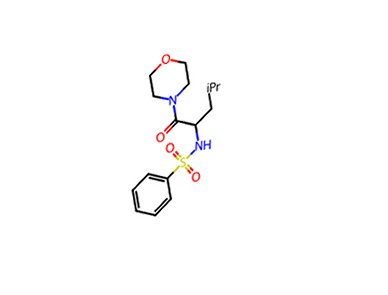 CC(C)CC(NS(=O)(=O)c1ccccc1)C(=O)N1CCOCC1